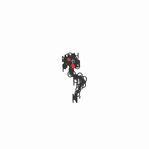 COc1ccccc1-c1nccc(COc2ccccc2C[C@@H](Oc2ncnc3sc(-c4ccc(F)cc4)c(-c4ccc(OCCN5CCN(C(=O)OCc6ccc(NC(=O)[C@H](C)NC(=O)[C@@H](NC(=O)COCCOCCOCCN=[N+]=[N-])C(C)C)cc6)CC5)c(Cl)c4C)c23)C(=O)O)n1